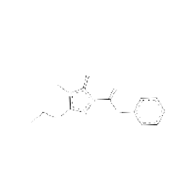 CCOc1nn(C(=S)Oc2ccccc2)c(=O)n1C